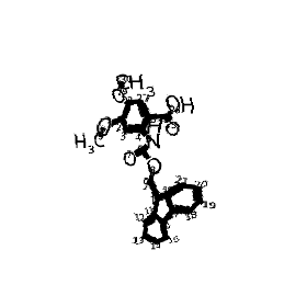 COc1cc(NC(=O)OCC2c3ccccc3-c3ccccc32)c(C(=O)O)cc1OC